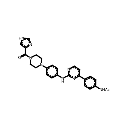 CC(=O)Nc1ccc(-c2ccnc(Nc3ccc(N4CCN(C(=O)c5c[nH]cn5)CC4)cc3)n2)cc1